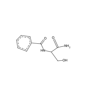 NC(=O)C(CO)NC(=O)c1ccccc1